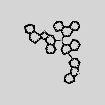 c1ccc2c(c1)cc(N(c1ccc(-c3ccc4sc5ccccc5c4c3)c3ccccc13)c1cc3sc4c5ccccc5ccc4c3c3ccccc13)c1ccccc12